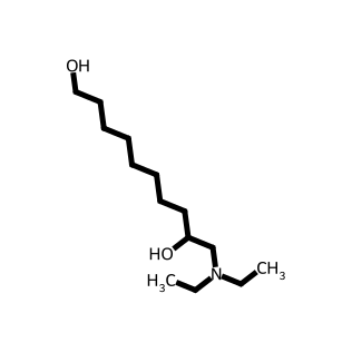 CCN(CC)CC(O)CCCCCCCCO